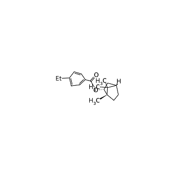 CCc1ccc(C(=O)O[C@@H]2C[C@@H]3CC[C@@]2(C)C3(C)C)cc1